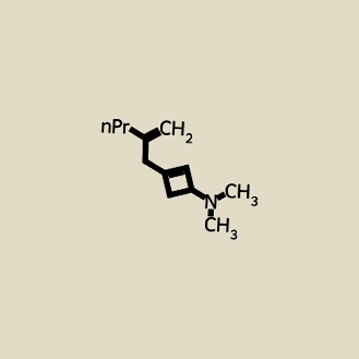 C=C(CCC)CC1=CC(N(C)C)C1